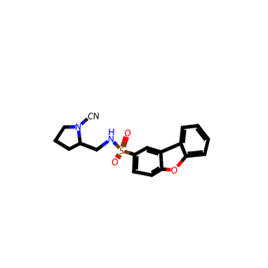 N#CN1CCCC1CNS(=O)(=O)c1ccc2oc3ccccc3c2c1